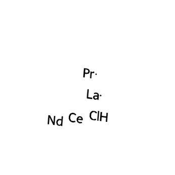 Cl.[Ce].[La].[Nd].[Pr]